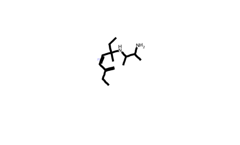 C=C(/C=C\C(C)(CC)NC(C)C(C)N)CC